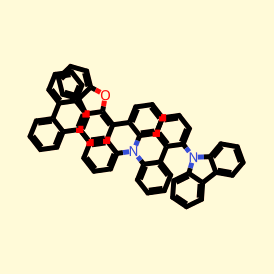 c1cc(-c2cc3ccccc3c3ccccc23)cc(N(c2ccccc2-c2ccccc2-n2c3ccccc3c3ccccc32)c2ccccc2-c2cccc3c2oc2ccccc23)c1